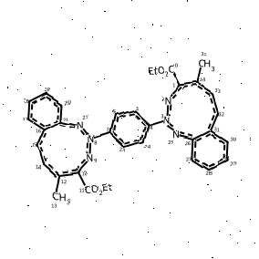 CCOC(=O)c1nn(-c2ccc(-n3nc(C(=O)OCC)c(C)ccc4ccccc4n3)cc2)nc2ccccc2ccc1C